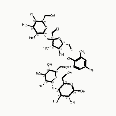 Cc1cc(O)ccc1Cl.OC[C@H]1O[C@H](O[C@H]2[C@H](O)[C@@H](O)[C@H](O)O[C@@H]2CO)[C@H](O)[C@@H](O)[C@@H]1O.OC[C@H]1O[C@H](O[C@]2(CCl)O[C@H](CCl)[C@@H](O)[C@@H]2O)[C@H](O)[C@@H](O)[C@H]1Cl